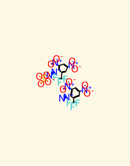 N#[N+]c1c([N+](=O)[O-])cc([N+](=O)[O-])cc1C(F)(F)F.N#[N+]c1c([N+](=O)[O-])cc([N+](=O)[O-])cc1C(F)(F)F.O=S(=O)([O-])[O-]